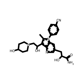 Cc1c(C(O)CN2CCC(O)CC2)c2ncc(CC(O)C(N)=O)cc2n1-c1ccc(C#N)cc1